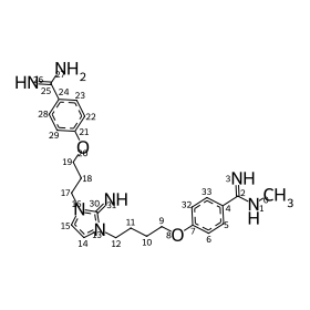 CNC(=N)c1ccc(OCCCCn2ccn(CCCOc3ccc(C(=N)N)cc3)c2=N)cc1